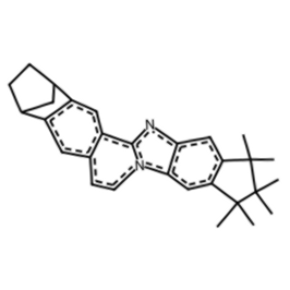 CC1(C)c2cc3nc4c5cc6c(cc5ccn4c3cc2C(C)(C)C1(C)C)C1CCC6C1